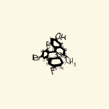 C[C@@H]1Cc2cc(O)ccc2C(c2c(F)cc(Br)cc2F)N1c1ccc(F)cc1